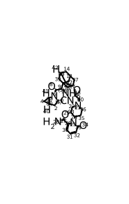 N#C[C@@H]1C[C@@H]2C[C@@H]2N1C(=O)[C@@H](N)C12CC3C[C@H](CC(OCCN4CCC(n5c(C(N)=O)cccc5=O)CC4)(C3)C1)C2